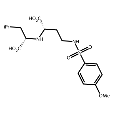 COc1ccc(S(=O)(=O)NCC[C@H](N[C@@H](CC(C)C)C(=O)O)C(=O)O)cc1